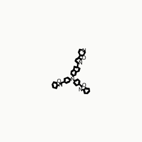 c1ccc2oc(-c3ccc(N(c4ccc(-c5nc6ccccc6o5)cc4)c4ccc5cc(-c6ccc7c(n6)oc6cnccc67)ccc5c4)cc3)nc2c1